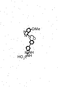 COc1ccc2ncnc(N3CCOc4ccc(-c5ccc6nc(NC(=O)O)[nH]c6c5)cc4C3)c2c1